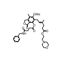 COc1c(C)c2c(c(OC(=O)CCC(=O)NCc3ccccc3)c1C/C=C(\C)CCC(=O)OCCN1CCOCC1)C(=O)OC2